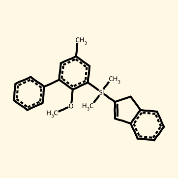 COc1c(-c2ccccc2)cc(C)cc1[Si](C)(C)C1=Cc2ccccc2C1